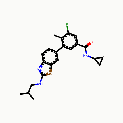 Cc1c(F)cc(C(=O)NC2CC2)cc1-c1ccc2nc(NCC(C)C)sc2c1